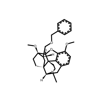 COc1ccc2c3c1O[C@H]1[C@@]4(OC)CC[C@@]5(C[C@H]4COCc4ccccc4)[C@@H](C2)N(C)CC[C@]315